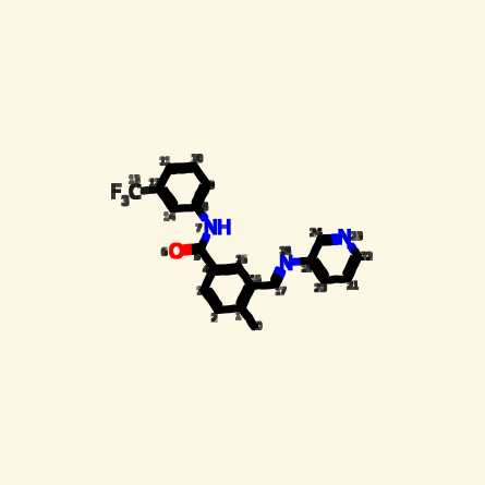 Cc1ccc(C(=O)Nc2cccc(C(F)(F)F)c2)cc1C=Nc1cccnc1